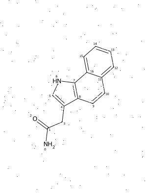 NC(=O)Cc1c[nH]c2c1ccc1ccccc12